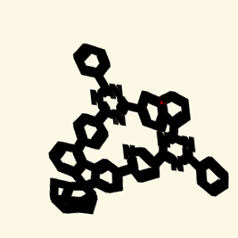 c1ccc(-c2nc(-c3ccccc3)nc(-c3ccc(-c4cccc5c4-c4cc(-c6ccc(-c7nc(-c8ccccc8)nc(-c8ccccc8)n7)cn6)ccc4C54C5CC6CC(C5)CC4C6)cc3)n2)cc1